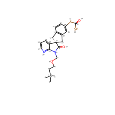 C[Si](C)(C)CCOCN1C(=O)[C@@]2(Cc3ccc(SC(=O)S)cc3C2)c2cccnc21